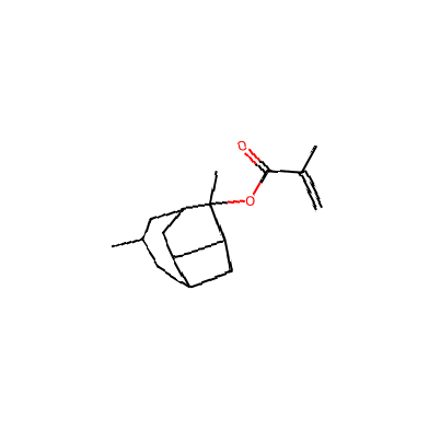 C=C(C)C(=O)OC1(C)C2CC(C)CC3CC1C3C2